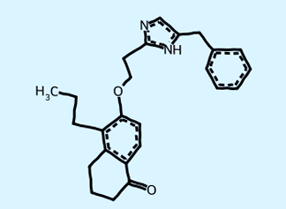 CCCc1c(OCCc2ncc(Cc3ccccc3)[nH]2)ccc2c1CCCC2=O